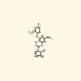 Nc1nc2c(c(Sc3ccc(F)cc3C(F)(F)F)n1)CCN(c1cn[nH]c(=O)c1Cl)C2